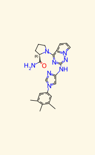 Cc1cc(-n2cnc(Nc3nc(N4CCC[C@@H]4C(N)=O)c4cccn4n3)c2)cc(C)c1C